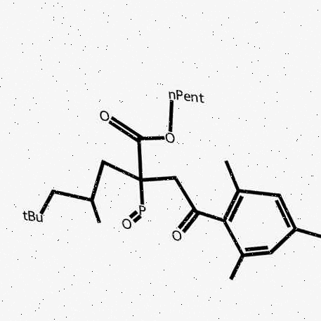 CCCCCOC(=O)C(CC(=O)c1c(C)cc(C)cc1C)(CC(C)CC(C)(C)C)P=O